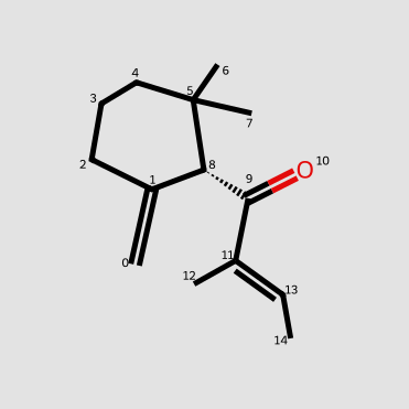 C=C1CCCC(C)(C)[C@@H]1C(=O)/C(C)=C/C